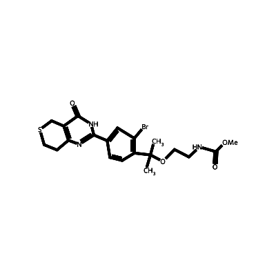 COC(=O)NCCOC(C)(C)c1ccc(-c2nc3c(c(=O)[nH]2)CSCC3)cc1Br